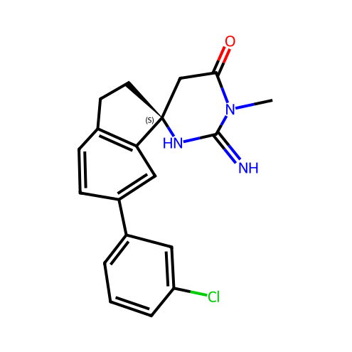 CN1C(=N)N[C@@]2(CCc3ccc(-c4cccc(Cl)c4)cc32)CC1=O